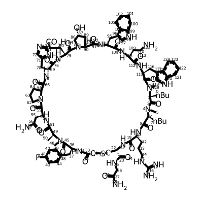 CCCC[C@H]1C(=O)N(C)[C@@H](CCCC)C(=O)N[C@@H](CCCNC(=N)N)C(=O)N[C@H](C(=O)NCC(N)=O)CSCC(=O)N[C@@H](Cc2ccc(F)cc2)C(=O)N(C)[C@@H](C)C(=O)N[C@@H](CC(N)=O)C(=O)N2CCCC2C(=O)N[C@@H](Cc2cnc[nH]2)C(=O)N[C@@H](CCC(=O)O)C(=O)N2C[C@H](O)C[C@H]2C(=O)N[C@@H](Cc2c[nH]c3ccccc23)C(=O)N[C@@H](CCN)C(=O)N[C@@H](Cc2c[nH]c3ccccc23)C(=O)N1C